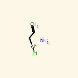 C=C[CH2][Al+][Cl].[NH2-]